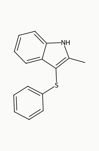 Cc1[nH]c2ccccc2c1Sc1ccccc1